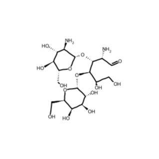 N[C@H]1[C@H](O[C@@H]([C@H](O[C@H]2O[C@H](CO)[C@H](O)[C@H](O)[C@H]2O)[C@H](O)CO)[C@H](N)C=O)O[C@H](CO)[C@@H](O)[C@@H]1O